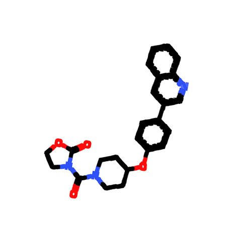 O=C1OCCN1C(=O)N1CCC(Oc2ccc(-c3cnc4ccccc4c3)cc2)CC1